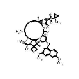 CC[C@@H]1C[C@H](C)CCC=C[C@@H]2C[C@@]2(C(=O)NS(=O)(=O)C2(C)CC2)NC(=O)[C@@H]2C[C@@H](Oc3nc(OC)cc4cc(OC)ccc34)CN2C(=O)[C@H]1N(C(=O)O)C1(C(F)(F)F)COC1